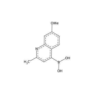 COc1ccc2c(B(O)O)cc(C)nc2c1